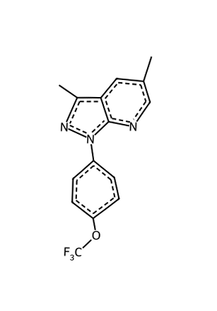 Cc1cnc2c(c1)c(C)nn2-c1ccc(OC(F)(F)F)cc1